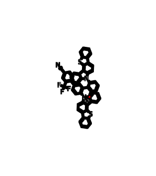 N#Cc1ccc(-c2ccc(-n3c4ccccc4c4c5sc6ccccc6c5ccc43)c(-c3c(C#N)cccc3-n3c4ccccc4c4c5sc6ccccc6c5ccc43)c2)c(C(F)(F)F)c1